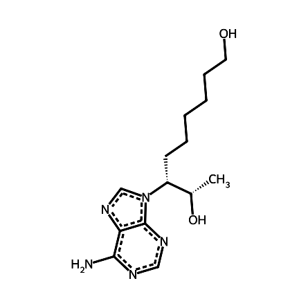 C[C@H](O)[C@@H](CCCCCCO)n1cnc2c(N)ncnc21